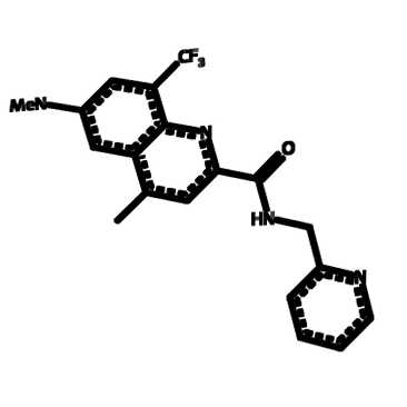 CNc1cc(C(F)(F)F)c2nc(C(=O)NCc3ccccn3)cc(C)c2c1